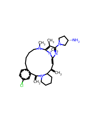 C=C1/C=C2/N=C(N3CC[C@H](N)C3)C(C)=C(N(C)CCCCc3ccc(Cl)cc3C(=C)N3CCCCC13)N2C